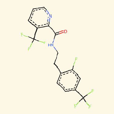 O=C(NCCc1ccc(C(F)(F)F)cc1F)c1ncccc1C(F)(F)F